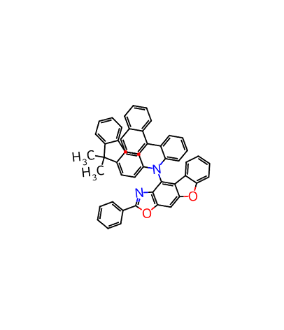 CC1(C)c2ccccc2-c2cc(N(c3ccccc3-c3cccc4ccccc34)c3c4nc(-c5ccccc5)oc4cc4oc5ccccc5c34)ccc21